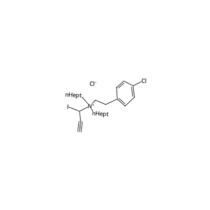 C#CC(I)[N+](CCCCCCC)(CCCCCCC)CCc1ccc(Cl)cc1.[Cl-]